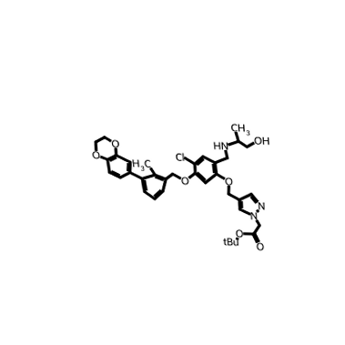 Cc1c(COc2cc(OCc3cnn(CC(=O)OC(C)(C)C)c3)c(CNC(C)CO)cc2Cl)cccc1-c1ccc2c(c1)OCCO2